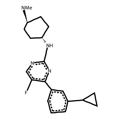 CN[C@H]1CC[C@H](Nc2ncc(F)c(-c3cccc(C4CC4)c3)n2)CC1